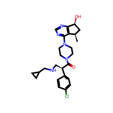 C[C@@H]1C[C@H](O)c2ncnc(N3CCN(C(=O)[C@H](CNCC4CC4)c4ccc(Cl)cc4)CC3)c21